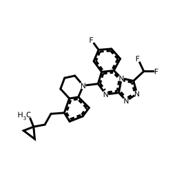 CC1(CCc2cccc3c2CCCN3c2nc3nnc(C(F)F)n3c3ccc(F)cc23)CC1